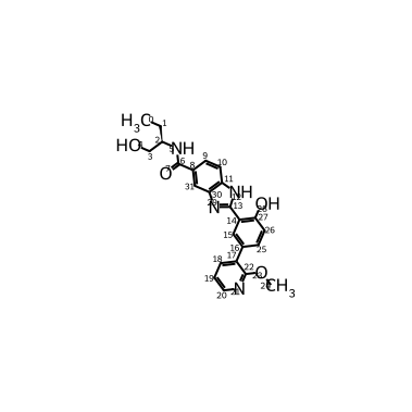 CC[C@H](CO)NC(=O)c1ccc2[nH]c(-c3cc(-c4cccnc4OC)ccc3O)nc2c1